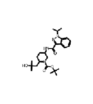 CC(C)n1nc(C(=O)NC2CCC(CC(C)(C)O)N(C(=O)OC(C)(C)C)C2)c2ccccc21